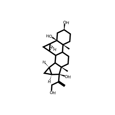 C=C(CO)[C@]1(O)[C@H]2C[C@H]2C2C3C(CC[C@@]21C)[C@@]1(C)CC[C@H](O)C[C@@]1(O)[C@@H]1C[C@H]31